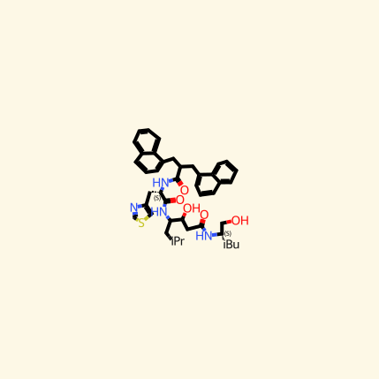 CCC(C)[C@@H](CO)NC(=O)CC(O)C(CC(C)C)NC(=O)[C@H](Cc1cscn1)NC(=O)C(Cc1cccc2ccccc12)Cc1cccc2ccccc12